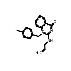 C=CCNc1nc(=O)c2ccccc2n1Cc1ccc(F)cc1